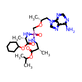 CC(C)OC(=O)[C@@H](C)CN[P@](=O)(CO[C@H](C)Cn1cnc2c(N)ncnc21)N[C@@H](C)C(=O)OC1CCCCC1